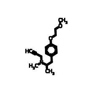 C#CCN(C)C(C)Cc1ccc(OCCOC)cc1